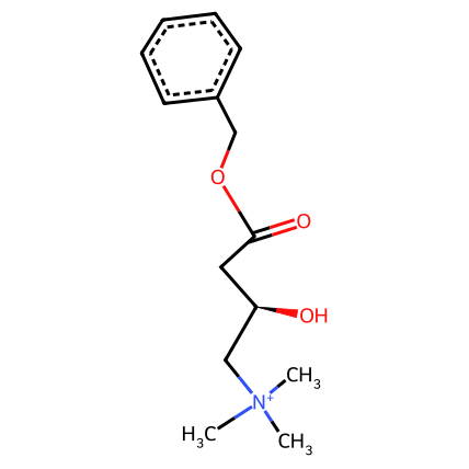 C[N+](C)(C)C[C@H](O)CC(=O)OCc1ccccc1